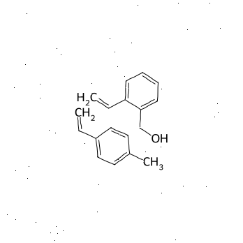 C=Cc1ccc(C)cc1.C=Cc1ccccc1CO